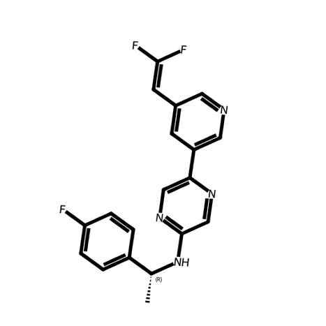 C[C@@H](Nc1cnc(-c2cncc(C=C(F)F)c2)cn1)c1ccc(F)cc1